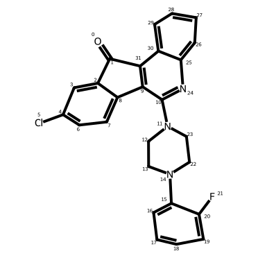 O=C1c2cc(Cl)ccc2-c2c(N3CCN(c4ccccc4F)CC3)nc3ccccc3c21